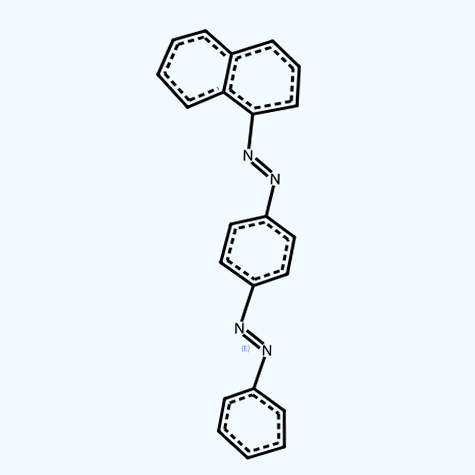 c1ccc(/N=N/c2ccc(N=Nc3cccc4ccccc34)cc2)cc1